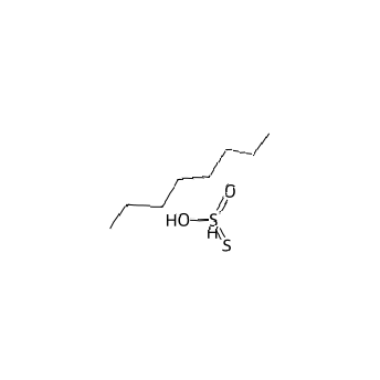 CCCCCCCC.O=[SH](O)=S